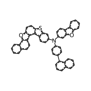 c1ccc2c(-c3ccc(N(c4ccc5c(c4)oc4ccccc45)c4ccc5c(c4)sc4ccc6oc7c8ccccc8ccc7c6c45)cc3)cccc2c1